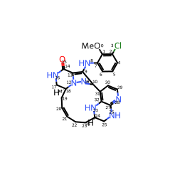 COc1c(Cl)cccc1Nc1c2nn3c1C(=O)NC[C@@H]3C/C=C\CC[C@@H]1CNc3nccc-2c3N1